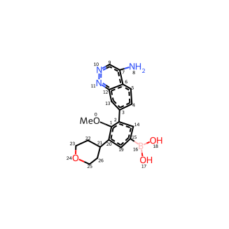 COc1c(-c2ccc3c(N)cnnc3c2)cc(B(O)O)cc1C1CCOCC1